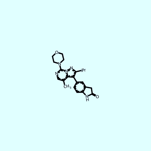 Cc1cnc(N2CCOCC2)n2nc(C(C)C)c(-c3ccc4c(c3)CC(=O)N4)c12